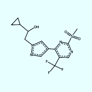 CS(=O)(=O)c1ncc(C(F)(F)F)c(-c2cnn(CC(O)C3CC3)c2)n1